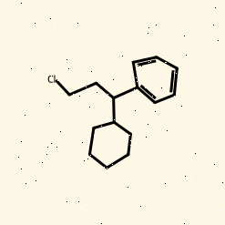 ClCCC(c1ccccc1)C1CCCCC1